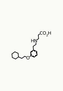 O=C(O)CCNCCc1cccc(OCCC2CCCCC2)c1